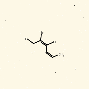 C/C=C\C(Cl)=C(\Br)CCl